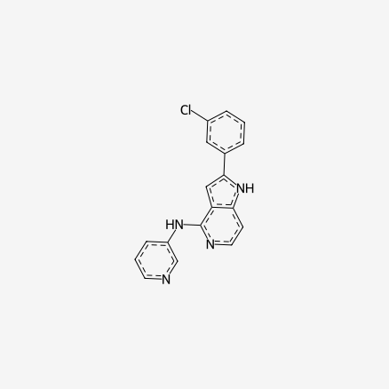 Clc1cccc(-c2cc3c(Nc4cccnc4)nccc3[nH]2)c1